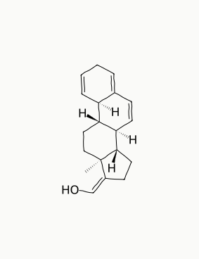 C[C@]12CC[C@H]3[C@@H](C=CC4=CCC=C[C@@H]43)[C@@H]1CC/C2=C/O